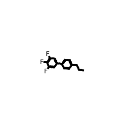 CCCc1ccc(-c2cc(F)c(F)c(F)c2)cc1